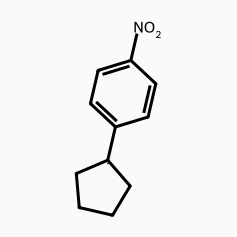 O=[N+]([O-])c1ccc([C]2CCCC2)cc1